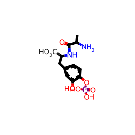 CC(N)C(=O)NC(Cc1ccc(OP(=O)(O)O)c(O)c1)C(=O)O